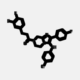 O=C(CCc1ccc(F)c(F)c1)N1CCn2c(nc(-c3ccc(F)cc3)c2Nc2ccc(Cl)cc2)C1